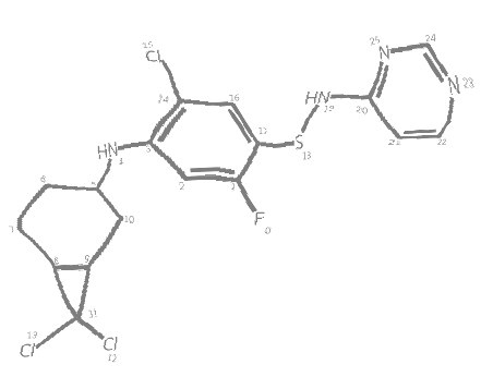 Fc1cc(NC2CCC3C(C2)C3(Cl)Cl)c(Cl)cc1SNc1ccncn1